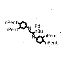 CCCCCc1ccc(/N=C/C(CCCC)=N/c2ccc(CCCCC)c(CCCCC)c2)cc1CCCCC.[Pd]